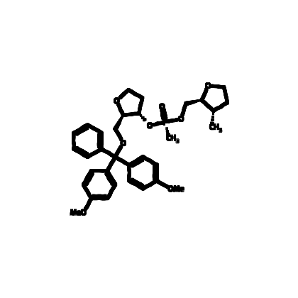 COc1ccc(C(OC[C@H]2OCC[C@@H]2O[P@@](C)(=O)OC[C@H]2OCC[C@@H]2C)(c2ccccc2)c2ccc(OC)cc2)cc1